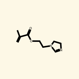 C=C(C)C(=O)OCCN1C=NCC1